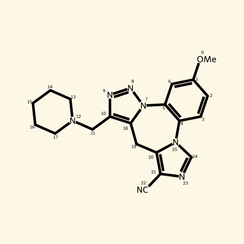 COc1ccc2c(c1)-n1nnc(CN3CCCCC3)c1Cc1c(C#N)ncn1-2